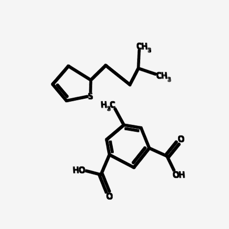 CC(C)CCC1CC=CS1.Cc1cc(C(=O)O)cc(C(=O)O)c1